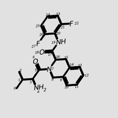 CC(C)C(N)C(=O)N1Cc2ccccc2CC1C(=O)Nc1c(F)cccc1F